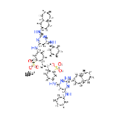 O=S(=O)([O-])c1cc(Nc2cc(Nc3ccccc3)nc(Nc3ccc4ccccc4c3)n2)ccc1C=Cc1ccc(Nc2cc(Nc3ccccc3)nc(Nc3ccc4ccccc4c3)n2)cc1S(=O)(=O)[O-].[Na+].[Na+]